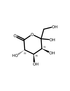 O=C1OC(O)(CO)[C@@H](O)[C@@H](O)[C@@H]1O